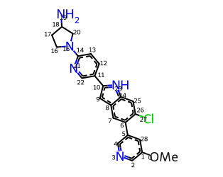 COc1cncc(-c2cc3cc(-c4ccc(N5CCC(N)C5)nc4)[nH]c3cc2Cl)c1